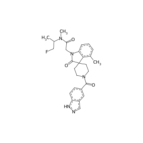 Cc1cccc2c1C1(CCN(C(=O)c3ccc4[nH]ncc4c3)CC1)C(=O)N2CC(=O)N(C)C(C)CF